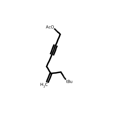 C=C(CC#CCOC(C)=O)CC(C)(C)C